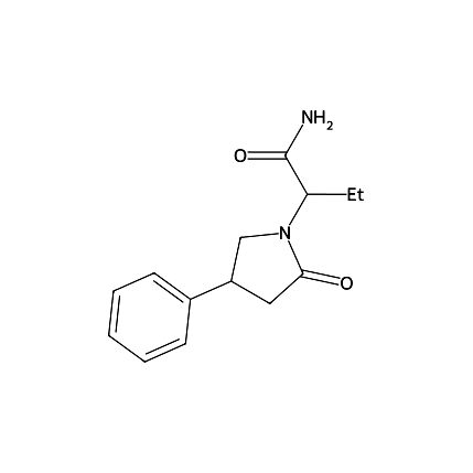 CCC(C(N)=O)N1CC(c2ccccc2)CC1=O